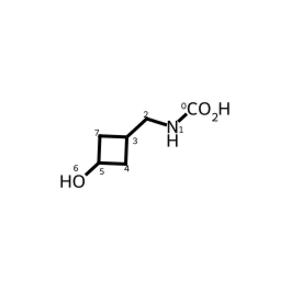 O=C(O)NCC1CC(O)C1